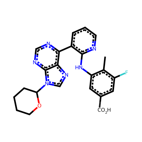 Cc1c(F)cc(C(=O)O)cc1Nc1ncccc1-c1ncnc2c1ncn2C1CCCCO1